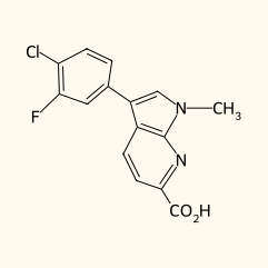 Cn1cc(-c2ccc(Cl)c(F)c2)c2ccc(C(=O)O)nc21